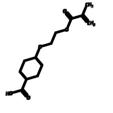 C=C(C)C(=O)OCCOC1CCC(C(=O)O)CC1